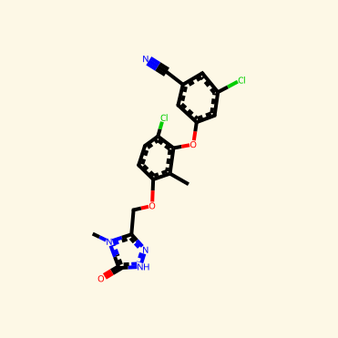 Cc1c(OCc2n[nH]c(=O)n2C)ccc(Cl)c1Oc1cc(Cl)cc(C#N)c1